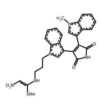 CSC(=C[N+](=O)[O-])NCCCn1cc(C2=C(c3cn(C)c4ccccc34)C(=O)NC2=O)c2ccccc21